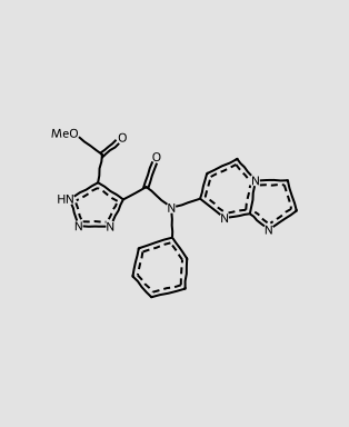 COC(=O)c1[nH]nnc1C(=O)N(c1ccccc1)c1ccn2ccnc2n1